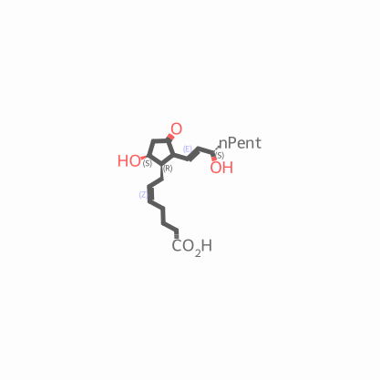 CCCCC[C@H](O)/C=C/C1C(=O)C[C@H](O)[C@@H]1C/C=C\CCCC(=O)O